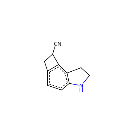 N#CC1Cc2ccc3c(c21)CCN3